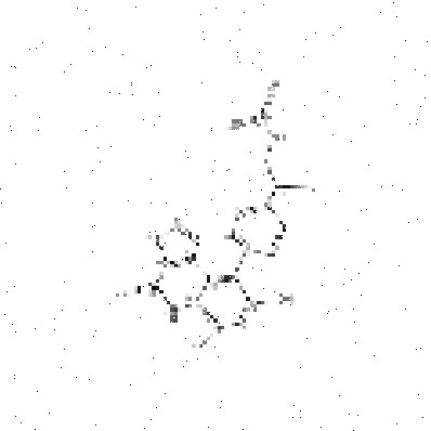 Cc1cc(O)c(-c2ccc(C(C)CN[SH](=O)=O)cc2)c2c1[nH]c(=O)c1sccc12